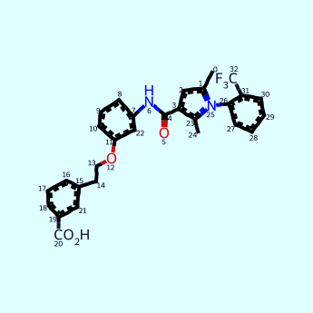 Cc1cc(C(=O)Nc2cccc(OCCc3cccc(C(=O)O)c3)c2)c(C)n1-c1ccccc1C(F)(F)F